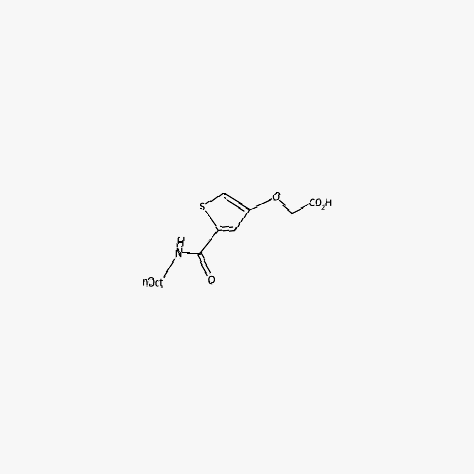 CCCCCCCCNC(=O)c1cc(OCC(=O)O)cs1